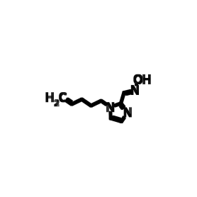 C=CCCCn1ccnc1C=NO